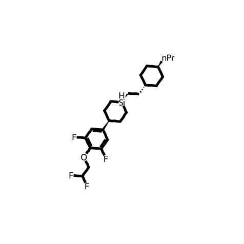 CCC[C@H]1CC[C@H](CC[Si@H]2CC[C@H](c3cc(F)c(OCC(F)F)c(F)c3)CC2)CC1